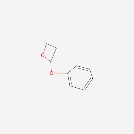 c1ccc(OC2CCO2)cc1